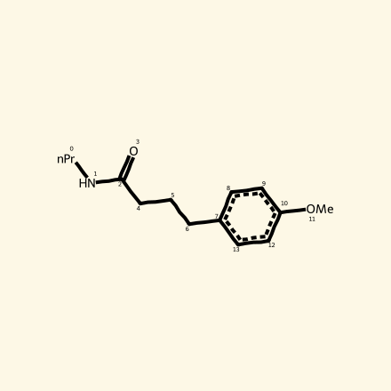 CCCNC(=O)CCCc1ccc(OC)cc1